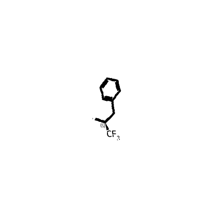 [CH2][C@@H](Cc1ccccc1)C(F)(F)F